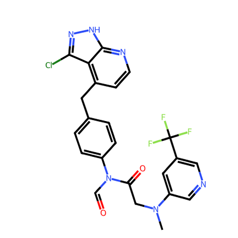 CN(CC(=O)N(C=O)c1ccc(Cc2ccnc3[nH]nc(Cl)c23)cc1)c1cncc(C(F)(F)F)c1